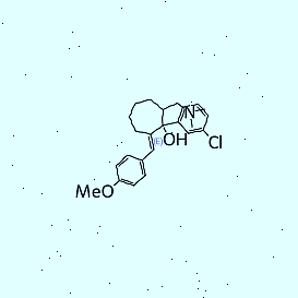 COc1ccc(/C=C2\CCCCC(CN(C)C)C2(O)c2cccc(Cl)c2)cc1